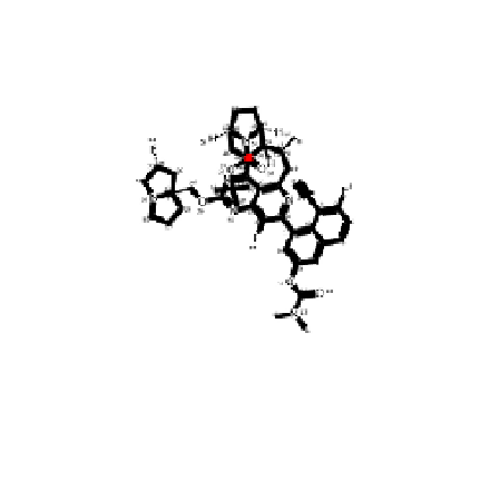 C#Cc1c(F)ccc2cc(OC(=O)N(C)C)cc(-c3nc4c5c(nc(OC[C@@]67CCCN6C[C@H](F)C7)nc5c3F)N3C[C@H]5CC[C@@H]([C@@H]3[C@@H](C)C4)N5C(=O)OC(C)(C)C)c12